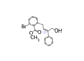 COC(=O)c1c(Br)cccc1C/C=C(\CO)c1ccccc1